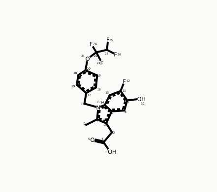 Cc1c(CC(=O)O)c2cc(O)c(F)cc2n1Cc1ccc(OC(F)(F)C(F)F)cc1